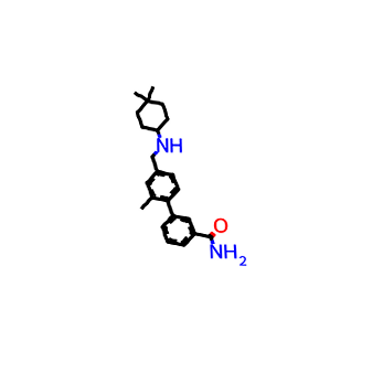 Cc1cc(CNC2CCC(C)(C)CC2)ccc1-c1cccc(C(N)=O)c1